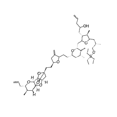 C=CCC(O)C[C@H]1C(C[C@H]2O[C@@H](CCC3O[C@@H](CC[C@@]45C[C@H]6O[C@@H]7[C@@H](O[C@@H](CC=C)[C@H](C)[C@@H]7O4)[C@H]6O5)CC3=C)C[C@@H](C)C2=C)OC(C[C@H](C)CO[Si](CC)(CC)CC)[C@@H]1C